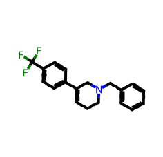 FC(F)(F)c1ccc(C2=CCCN(Cc3ccccc3)C2)cc1